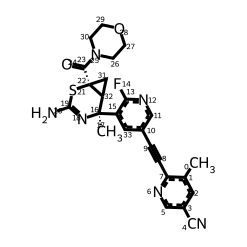 Cc1cc(C#N)cnc1C#Cc1cnc(F)c([C@@]2(C)N=C(N)S[C@@]3(C(=O)N4CCOCC4)CC32)c1